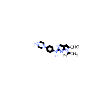 C=C(C(C)C)n1c(C=O)cc2cnc(Nc3ccc(N4CCNCC4)cc3)nc21